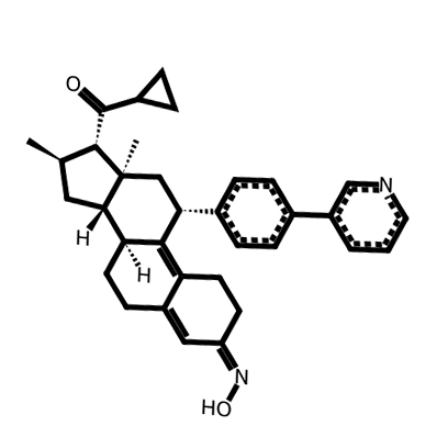 C[C@@H]1C[C@H]2[C@@H]3CCC4=C/C(=N\O)CCC4=C3[C@@H](c3ccc(-c4cccnc4)cc3)C[C@]2(C)[C@H]1C(=O)C1CC1